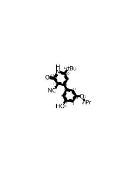 CC(C)Oc1cc(O)cc(-c2cc(C(C)(C)C)[nH]c(=O)c2C#N)c1